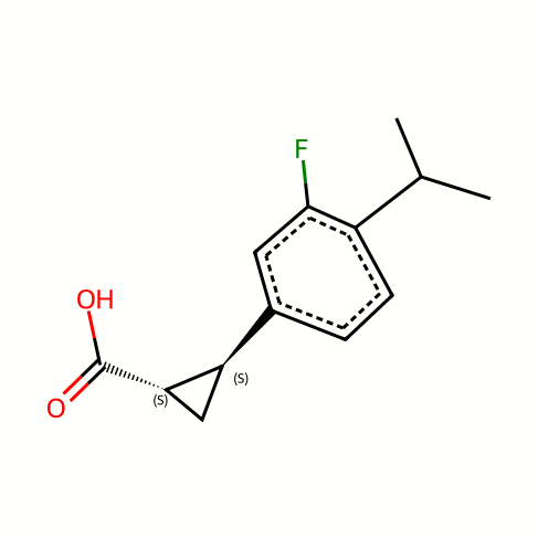 CC(C)c1ccc([C@H]2C[C@@H]2C(=O)O)cc1F